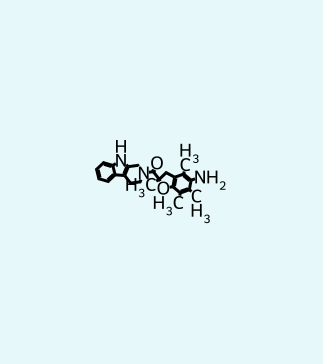 Cc1c(C)c2c(c(C)c1N)CC(C)(C(=O)N1CCc3c([nH]c4ccccc34)C1)O2